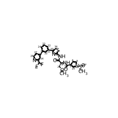 COC[C@H](NC(=O)c1ccn([S+](C)[O-])c1)C(=O)Nc1nc(-c2cccc(-c3ccnc(C(F)F)c3)c2)cs1